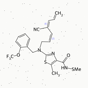 C=C/C=C(C#N)\C=C/CN(Cc1ccccc1OC(F)(F)F)c1nc(C(=O)NSC)c(C)s1